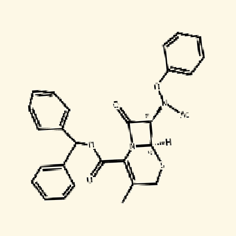 CC(=O)N(Oc1ccccc1)[C@@H]1C(=O)N2C(C(=O)OC(c3ccccc3)c3ccccc3)=C(C)CS[C@H]12